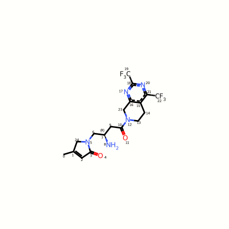 CC1=CC(=O)N(C[C@H](N)CC(=O)N2CCc3c(nc(C(F)(F)F)nc3C(F)(F)F)C2)C1